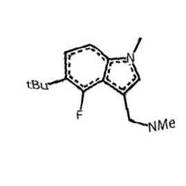 CNCc1cn(C)c2ccc(C(C)(C)C)c(F)c12